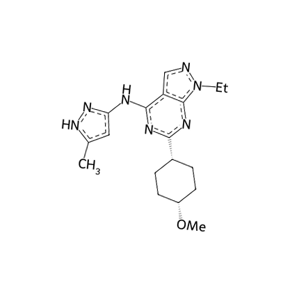 CCn1ncc2c(Nc3cc(C)[nH]n3)nc([C@H]3CC[C@@H](OC)CC3)nc21